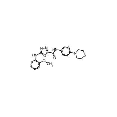 COc1ccccc1Nc1nnc(C(=O)Nc2ccc(N3CCSCC3)nc2)o1